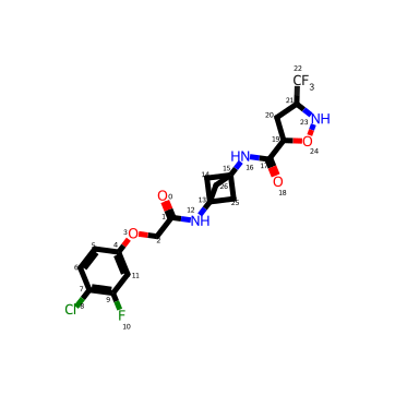 O=C(COc1ccc(Cl)c(F)c1)NC12CC(NC(=O)C3CC(C(F)(F)F)NO3)(C1)C2